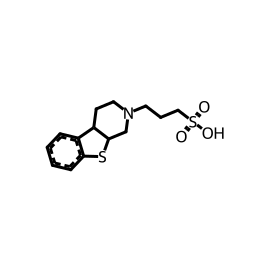 O=S(=O)(O)CCCN1CCC2c3ccccc3SC2C1